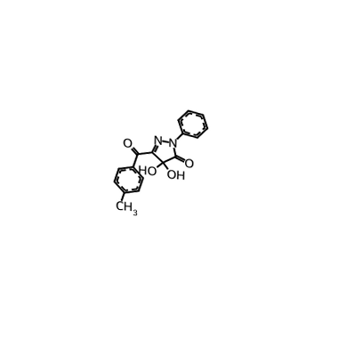 Cc1ccc(C(=O)C2=NN(c3ccccc3)C(=O)C2(O)O)cc1